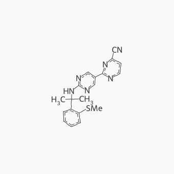 CSc1ccccc1C(C)(C)Nc1ncc(-c2nccc(C#N)n2)cn1